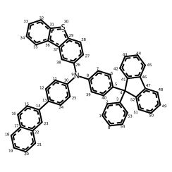 c1ccc(C2(c3ccc(N(c4ccc(-c5ccc6ccccc6c5)cc4)c4ccc5sc6ccccc6c5c4)cc3)c3ccccc3-c3ccccc32)cc1